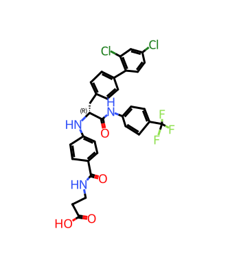 O=C(O)CCNC(=O)c1ccc(N[C@H](Cc2ccc(-c3ccc(Cl)cc3Cl)cc2)C(=O)Nc2ccc(C(F)(F)F)cc2)cc1